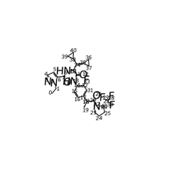 CCn1nccc1C(=O)N[C@H](C(=O)Nc1ccc([C@H](C)C(=O)N2CCC[C@H]2C(F)(F)F)cc1F)C(=C1CC1)C1CC1